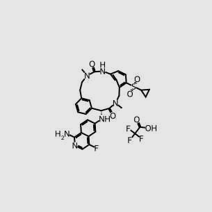 CN1CCc2cccc(c2)[C@@H](Nc2ccc3c(N)ncc(F)c3c2)C(=O)N(C)Cc2cc(ccc2S(=O)(=O)C2CC2)NC1=O.O=C(O)C(F)(F)F